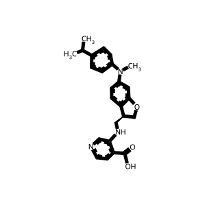 CC(C)c1ccc(N(C)c2ccc3c(c2)OC[C@H]3CNc2cnccc2C(=O)O)cc1